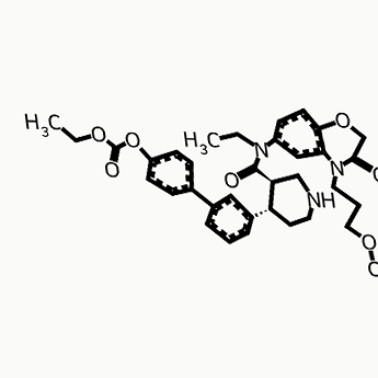 CCOC(=O)Oc1ccc(-c2cccc([C@H]3CCNC[C@@H]3C(=O)N(CC)c3ccc4c(c3)N(CCCOC)C(=O)CO4)c2)cc1